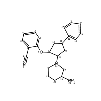 N#Cc1ccccc1OC1CC(c2ccccc2)CC1N1CCCC(N)C1